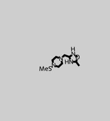 CSN1CCN(CC2NOC(C)N2)CC1